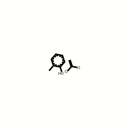 C=C(Cl)Cl.Cc1ccccc1O